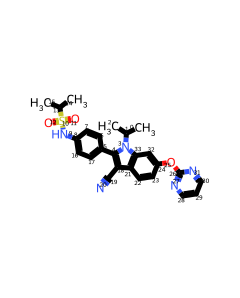 CC(C)n1c(-c2ccc(NS(=O)(=O)C(C)C)cc2)c(C#N)c2ccc(Oc3ncccn3)cc21